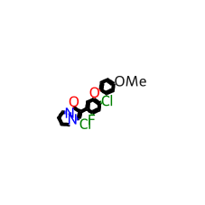 COc1ccc(Oc2cc(-c3c(Cl)n4n(c3=O)CCCC4)c(F)cc2Cl)cc1